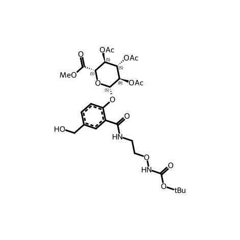 COC(=O)[C@H]1O[C@@H](Oc2ccc(CO)cc2C(=O)NCCONC(=O)OC(C)(C)C)[C@H](OC(C)=O)[C@@H](OC(C)=O)[C@@H]1OC(C)=O